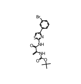 C=C(NC(=O)OC(C)(C)C)C(=O)Nc1nc(-c2cccc(Br)c2)cs1